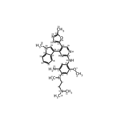 COc1cc(N(C)CCN(C)C)c(N)cc1Nc1ncc(-c2nnc(C)o2)c(-c2cn(C)c3ccccc23)n1